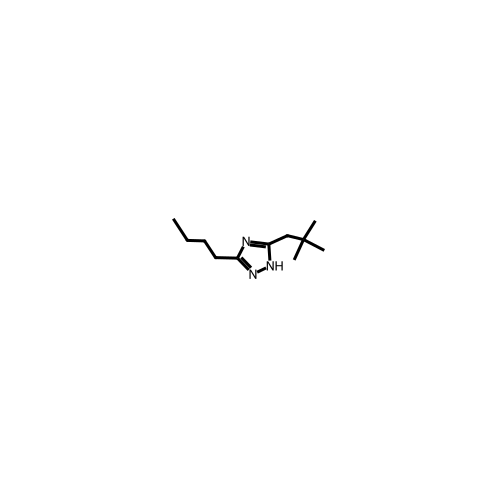 CCCCc1n[nH]c(CC(C)(C)C)n1